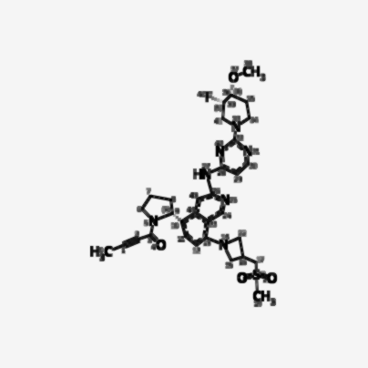 CC#CC(=O)N1CCC[C@@H]1c1ccc(N2CC(CS(C)(=O)=O)C2)c2cnc(Nc3ccnc(N4CC[C@@H](OC)[C@@H](F)C4)n3)cc12